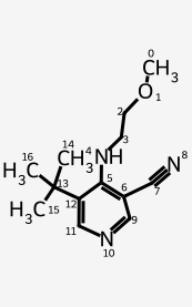 COCCNc1c(C#N)cncc1C(C)(C)C